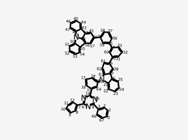 c1ccc(-c2nc(-c3ccccc3)nc(-c3cccc(-n4c5ccccc5c5cc(-c6cccc(-c7cccc(-c8cc9c%10ccccc%10n%10c%11ccccc%11c(c8)c9%10)c7)c6)ccc54)c3)n2)cc1